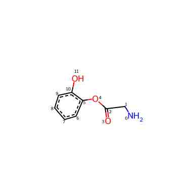 NCC(=O)Oc1ccccc1O